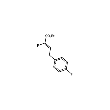 CCOC(=O)C(F)=CCc1ccc(F)cc1